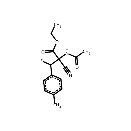 CCOC(=O)C(C#N)(NC(C)=O)C(F)c1ccc(C)cc1